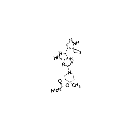 CNC(=O)OC1(C)CCN(c2cnc3c(-c4cn[nH]c4C(F)(F)F)n[nH]c3n2)CC1